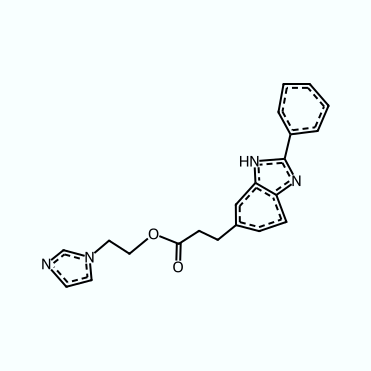 O=C(CCc1ccc2nc(-c3ccccc3)[nH]c2c1)OCCn1ccnc1